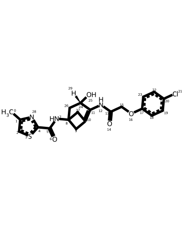 Cc1csc(C(=O)NC23CC(=C(NC(=O)COc4ccc(Cl)cc4)[C@@H](O)C2)C3)n1